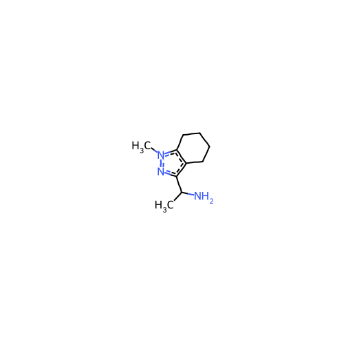 CC(N)c1nn(C)c2c1CCCC2